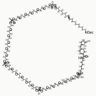 CCCCCCCCCCCCCCCCCCCSSCCCCCCOOP(C)(=O)OCCOCCOCCOCCOCCOCCOP(C)(=O)OCCOCCOCCOCCOCCOCCOP(C)(=O)OCCOCCOCCOCCOCCOCCOP(C)(=O)OCCOCCOCCOCCOCCOCCOP(C)(=O)OCCCCCCNC(=O)C1CCC(CC2CCC(C)C2)CC1